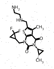 Cc1c(CNCCN)sc2c1c(=O)n([C@H]1C[C@@H]1C)c(=O)n2CC1CC1(F)F